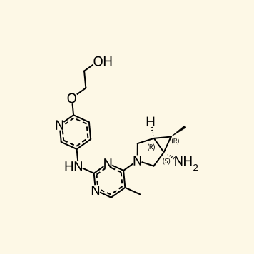 Cc1cnc(Nc2ccc(OCCO)nc2)nc1N1C[C@H]2[C@@H](C)[C@@]2(N)C1